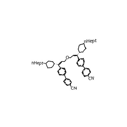 CCCCCCC[C@H]1CC[C@H](C(=CCOCC=C(c2ccc(-c3ccc(C#N)cc3)cc2)[C@H]2CC[C@H](CCCCCCC)CC2)c2ccc(-c3ccc(C#N)cc3)cc2)CC1